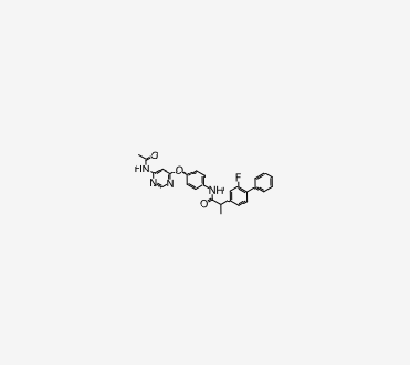 CC(=O)Nc1cc(Oc2ccc(NC(=O)C(C)c3ccc(-c4ccccc4)c(F)c3)cc2)ncn1